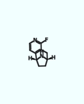 Fc1nccc2c1C[C@@H]1CC[C@H]2N1